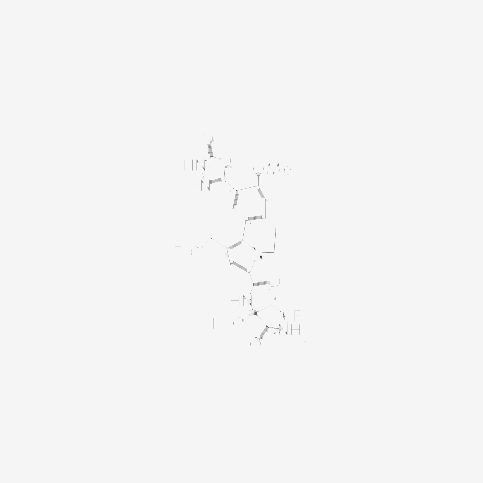 COc1cc2c(cc1-c1n[nH]c(=O)o1)-c1c(CC(F)(F)F)cc(C(=O)N[C@@](C)(CC(F)(F)F)C(N)=O)n1CC2